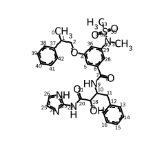 CC(COc1cc(C(=O)NC(Cc2ccccc2)C(O)C(=O)Nc2ncc[nH]2)cc(N(C)S(C)(=O)=O)c1)c1ccccc1